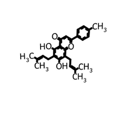 CC(C)=CCc1c(O)c(CC=C(C)C)c2oc(-c3ccc(C)cc3)cc(=O)c2c1O